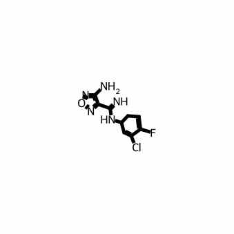 N=C(NC1C=C(Cl)C(F)=CC1)c1nonc1N